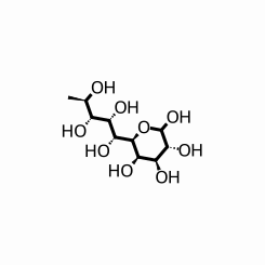 C[C@@H](O)[C@@H](O)[C@H](O)[C@@H](O)[C@H]1OC(O)[C@H](O)[C@@H](O)[C@H]1O